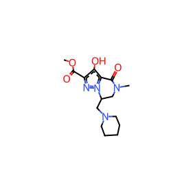 COC(=O)c1nn2c(c1O)C(=O)N(C)CC2CN1CCCCC1